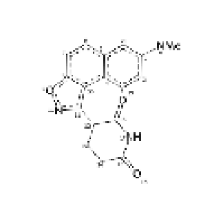 CNc1ccc2c(ccc3onc([C@H]4CCC(=O)NC4=O)c32)c1